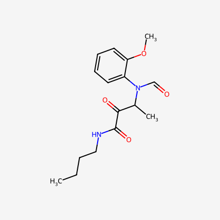 CCCCNC(=O)C(=O)C(C)N(C=O)c1ccccc1OC